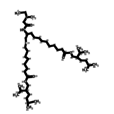 CCN(C)CC(=O)NC(CCCCCCCCCC(=O)OCC(CCC(C)C)C(C)C)CCCCCCCCCC(=O)OCC(CCC(C)C)C(C)C